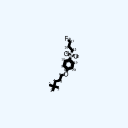 CC(C)(C)CCCOc1ccc(S(=O)(=O)CCCF)cc1